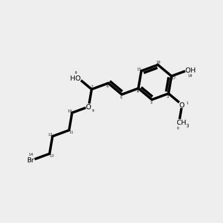 COc1cc(/C=C/C(O)OCCCCBr)ccc1O